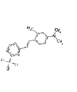 Cc1cc(N(C)C)ccc1C=Cc1ncnc(C(Cl)(Cl)Cl)n1